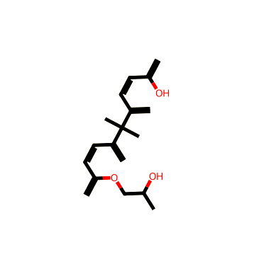 C=C(O)/C=C\C(=C)C(C)(C)C(=C)/C=C\C(=C)OCC(C)O